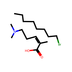 CC(=CCCN(C)C)C(=O)O.CCCCCCCCBr